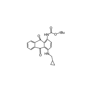 CC(C)(C)OC(=O)Nc1ccc(NCC2CC2)c2c1C(=O)c1ccccc1C2=O